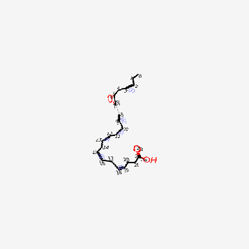 CC/C=C\CC1O[C@H]1/C=C/C=C\C=C/C/C=C\C/C=C\CCC(=O)O